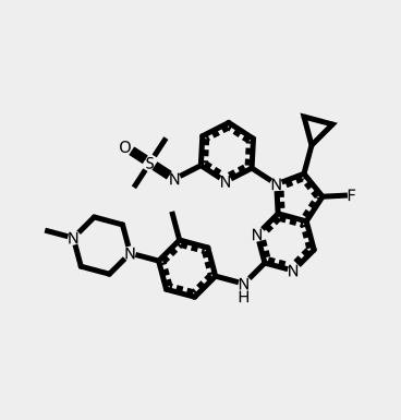 Cc1cc(Nc2ncc3c(F)c(C4CC4)n(-c4cccc(N=S(C)(C)=O)n4)c3n2)ccc1N1CCN(C)CC1